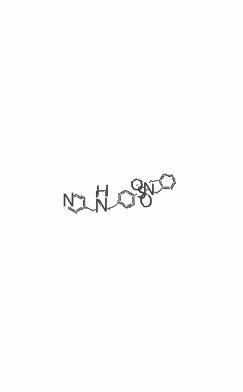 O=S(=O)(c1ccc(CNCc2ccncc2)cc1)N1Cc2ccccc2C1